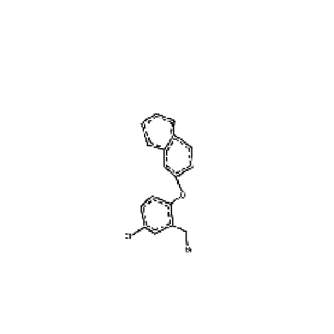 Clc1ccc(Oc2ccc3ccccc3c2)c(CBr)c1